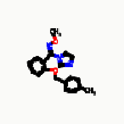 CON=C(c1ccccc1OCc1ccc(C)cc1)n1ccnc1